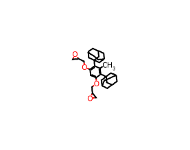 Cc1c(C23CC4CC(CC(C4)C2)C3)c(OCC2CO2)cc(OCC2CO2)c1C12CC3CC(CC(C3)C1)C2